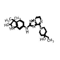 CCC1(O)CCN(c2nccn3nc(Nc4ccc5c(c4)NC(O)C5(C)C)nc23)CC1